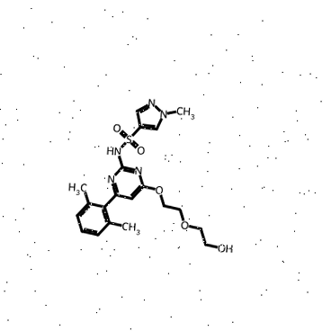 Cc1cccc(C)c1-c1cc(OCCOCCO)nc(NS(=O)(=O)c2cnn(C)c2)n1